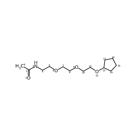 CC(=O)NCCOCCOCCOC1CCCC1